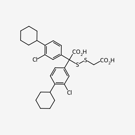 O=C(O)CSSC(C(=O)O)(c1ccc(C2CCCCC2)c(Cl)c1)c1ccc(C2CCCCC2)c(Cl)c1